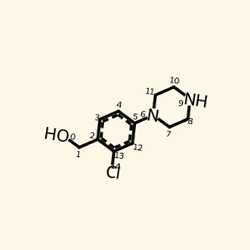 OCc1ccc(N2CCNCC2)cc1Cl